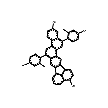 Cc1cc(C#N)ccc1-c1cc2c3cc4c(cc3c(-c3ccc(C#N)cc3C)cc2c2ccc(C#N)cc12)-c1cccc2c(C#N)ccc-4c12